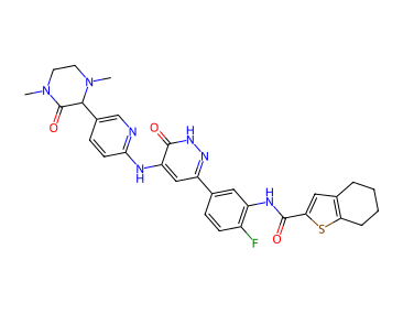 CN1CCN(C)C(c2ccc(Nc3cc(-c4ccc(F)c(NC(=O)c5cc6c(s5)CCCC6)c4)n[nH]c3=O)nc2)C1=O